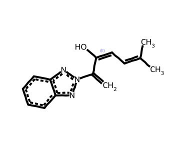 C=C(/C(O)=C\C=C(C)C)n1nc2ccccc2n1